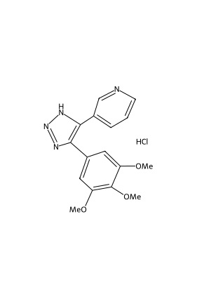 COc1cc(-c2nn[nH]c2-c2cccnc2)cc(OC)c1OC.Cl